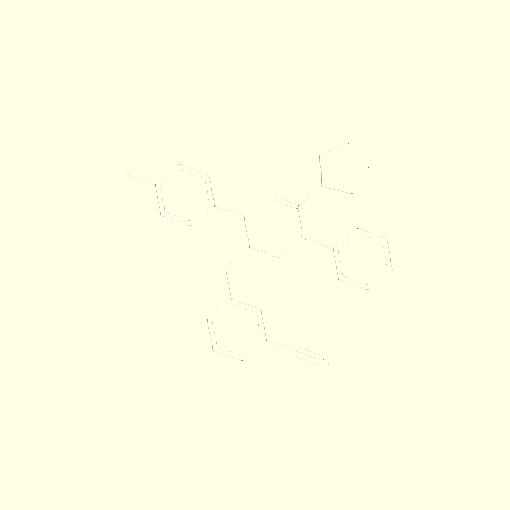 N#Cc1cccc(CC(Cc2ccc(Cl)cc2)CN(C(=O)C2CCCC2)c2ccccc2F)c1